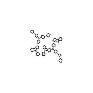 c1ccc(-c2ccc(N(c3ccc(-c4ccccc4)cc3)c3ccc(-c4ccc5c(c4)c4ccccc4n5-c4cccc(-c5cccc(-n6c7ccccc7c7cc(N(c8ccc(-c9ccc(-c%10ccccc%10)s9)cc8)c8ccc(-c9cccc%10c9oc9ccccc9%10)cc8)ccc76)c5)c4)cc3)cc2)cc1